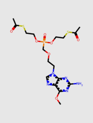 COc1nc(N)nc2c1ncn2CCOCP(=O)(OCCSC(C)=O)OCCSC(C)=O